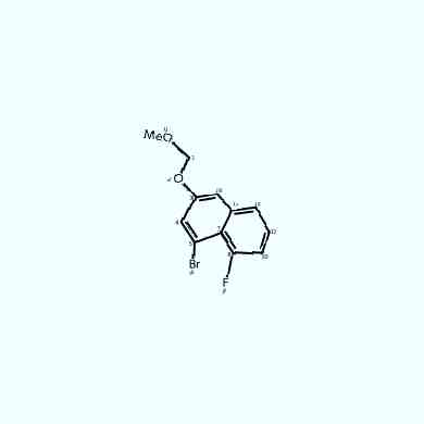 COCOc1cc(Br)c2c(F)cccc2c1